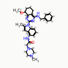 COC1CCCc2c(NCc3ccccc3)nc(-n3c(C)cc4c(NC(=O)CN5CCN(C)CC5)cccc43)nc21